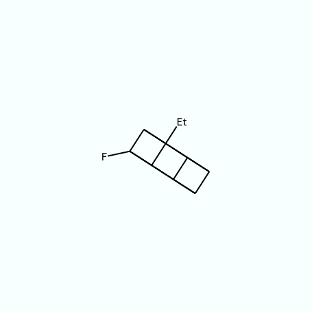 CCC12C3C4C5C3C1C5(F)C42